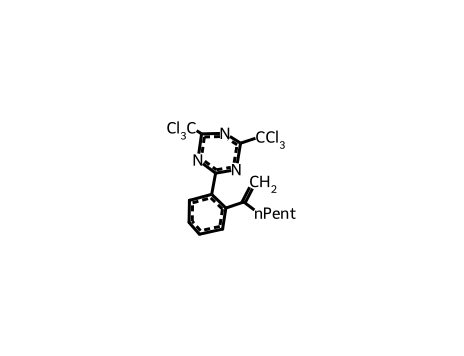 C=C(CCCCC)c1ccccc1-c1nc(C(Cl)(Cl)Cl)nc(C(Cl)(Cl)Cl)n1